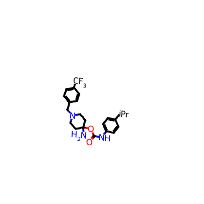 CC(C)c1ccc(NC(=O)OC2(N)CCN(Cc3ccc(C(F)(F)F)cc3)CC2)cc1